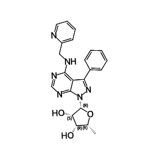 C[C@H]1O[C@@H](n2nc(-c3ccccc3)c3c(NCc4ccccn4)ncnc32)[C@@H](O)[C@H]1O